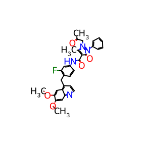 COc1cc2nccc(Cc3ccc(NC(=O)c4c(C)n(CC(C)=O)n(-c5ccccc5)c4=O)cc3F)c2cc1OC